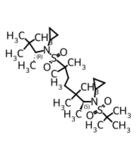 C[C@H](N(C1CC1)S(=O)(=O)C(C)(C)C)C(C)(C)CCC(C)(C)S(=O)(=O)N(C1CC1)[C@H](C)C(C)(C)C